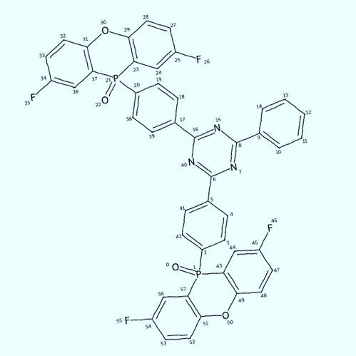 O=P1(c2ccc(-c3nc(-c4ccccc4)nc(-c4ccc(P5(=O)c6cc(F)ccc6Oc6ccc(F)cc65)cc4)n3)cc2)c2cc(F)ccc2Oc2ccc(F)cc21